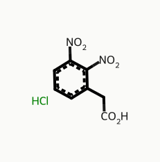 Cl.O=C(O)Cc1cccc([N+](=O)[O-])c1[N+](=O)[O-]